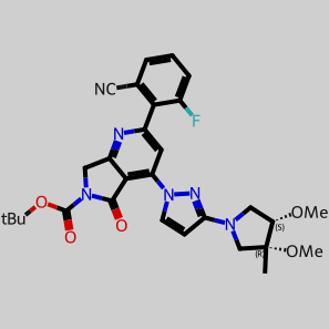 CO[C@H]1CN(c2ccn(-c3cc(-c4c(F)cccc4C#N)nc4c3C(=O)N(C(=O)OC(C)(C)C)C4)n2)C[C@@]1(C)OC